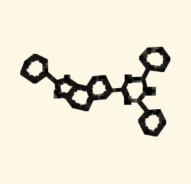 c1ccc(C2=NC(c3ccc4c(ccc5nc(-c6ccccc6)sc54)c3)=NC(c3ccccc3)N2)cc1